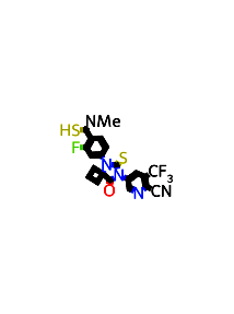 CNC(S)c1ccc(N2C(=S)N(c3cnc(C#N)c(C(F)(F)F)c3)C(=O)C23CCC3)cc1F